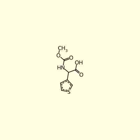 COC(=O)NC(C(=O)O)c1ccsc1